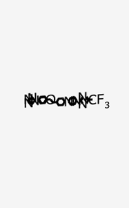 FC(F)(F)c1cnc(N2CCN(C3CCC(COc4ccc(-n5cnnn5)cc4)CC3)CC2)nc1